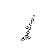 N#Cc1ccc(-c2ccc(-c3ccc(-c4ccc(-c5cc6cc7ccccc7nc6c6ncccc56)cc4)c4ccccc34)cc2)cc1